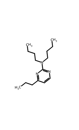 CCCCN(CCCC)c1nccc(CCC)n1